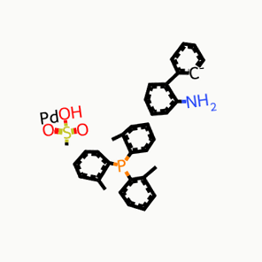 CS(=O)(=O)O.Cc1ccccc1P(c1ccccc1C)c1ccccc1C.Nc1ccccc1-c1[c-]cccc1.[Pd]